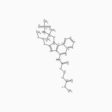 CCOCc1nc2c(NC(=O)COCC(=O)OC)nc3ccccc3c2n1CC(C)(C)NS(C)(=O)=O